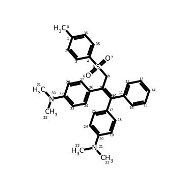 Cc1ccc(S(=O)(=O)CC(=C(c2ccccc2)c2ccc(N(C)C)cc2)c2ccc(N(C)C)cc2)cc1